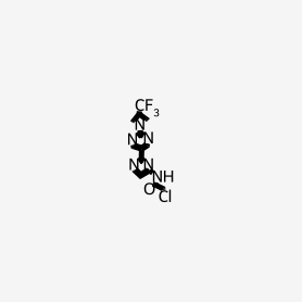 O=C(CCl)Nc1ccnc(-c2cnc(N3CC(C(F)(F)F)C3)nc2)n1